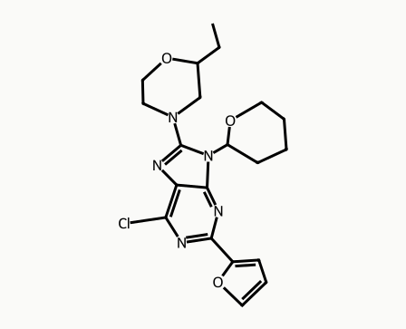 CCC1CN(c2nc3c(Cl)nc(-c4ccco4)nc3n2C2CCCCO2)CCO1